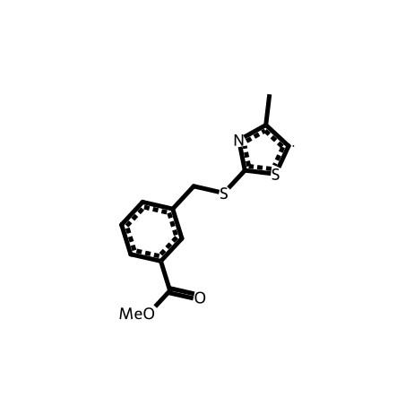 COC(=O)c1cccc(CSc2nc(C)[c]s2)c1